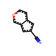 N#Cc1[c]c2ccocc-2c1